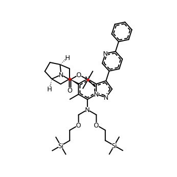 Cc1c([C@H]2C[C@H]3CC[C@@H](C2)N3C(=O)OC(C)(C)C)nc2c(-c3ccc(-c4ccccc4)nc3)cnn2c1N(COCC[Si](C)(C)C)COCC[Si](C)(C)C